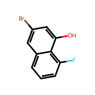 Oc1cc(Br)cc2cccc(F)c12